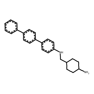 NC1CCC(CNc2ccc(-c3ccc(-c4ccccc4)cc3)cc2)CC1